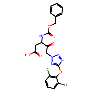 O=C(O)CC(NC(=O)OCc1ccccc1)C(=O)Cn1nnc(Oc2c(Cl)cccc2Cl)n1